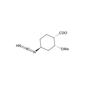 CO[C@@H]1C[C@@H](N=[N+]=N)CC[C@@H]1C(=O)[O-]